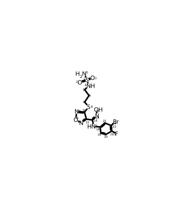 NS(=O)(=O)NCCCSc1nonc1C(=NO)Nc1ccc(F)c(Br)c1